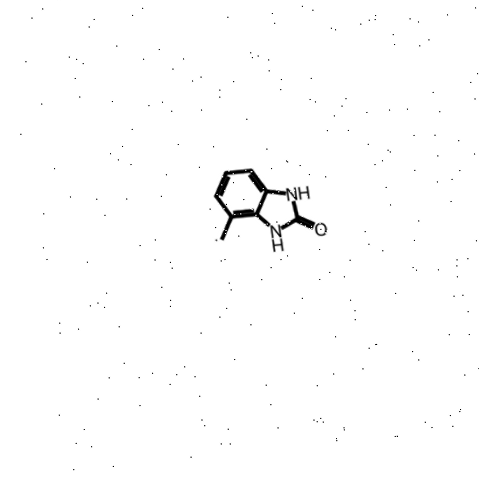 [CH2]c1cccc2[nH]c(=O)[nH]c12